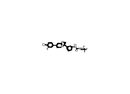 O=C(NCC(F)(F)F)Nc1cccc(-c2cnc3cc(-c4ccc(Cl)c(F)c4)ccn23)c1